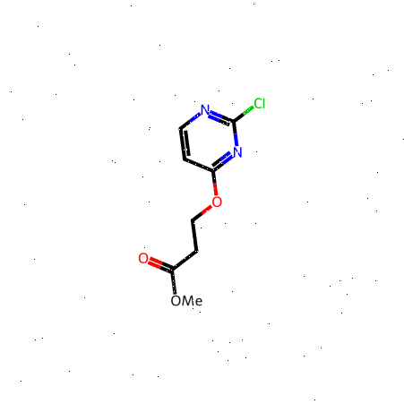 COC(=O)CCOc1ccnc(Cl)n1